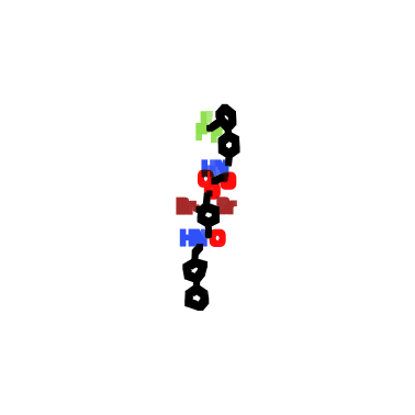 O=C(NCc1ccc(-c2ccccc2C(F)(F)F)cc1)C(=O)OCc1c(Br)cc(C(=O)NCCc2ccc(-c3ccccc3)cc2)cc1Br